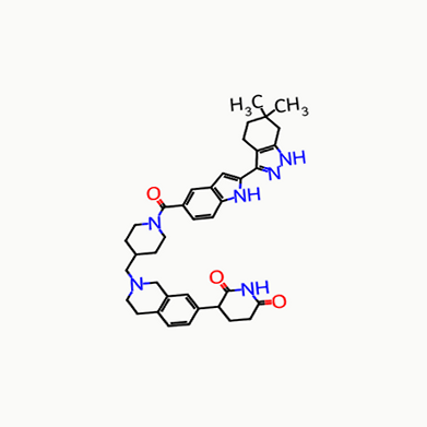 CC1(C)CCc2c(-c3cc4cc(C(=O)N5CCC(CN6CCc7ccc(C8CCC(=O)NC8=O)cc7C6)CC5)ccc4[nH]3)n[nH]c2C1